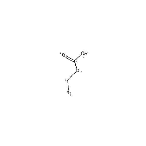 [2H]COC(=O)O